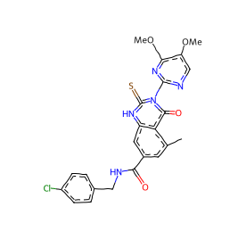 COc1cnc(-n2c(=S)[nH]c3cc(C(=O)NCc4ccc(Cl)cc4)cc(C)c3c2=O)nc1OC